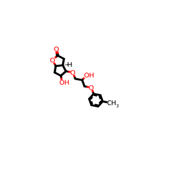 Cc1cccc(OCC(O)COC2C(O)CC3OC(=O)C[C@H]32)c1